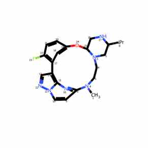 CC(C)C1CN2CCN(C)c3ccn4ncc(c4n3)-c3cc(ccc3F)OC2CN1